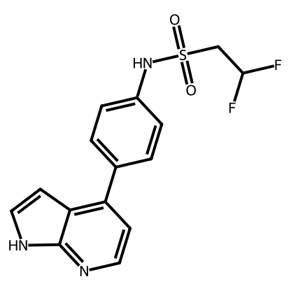 O=S(=O)(CC(F)F)Nc1ccc(-c2ccnc3[nH]ccc23)cc1